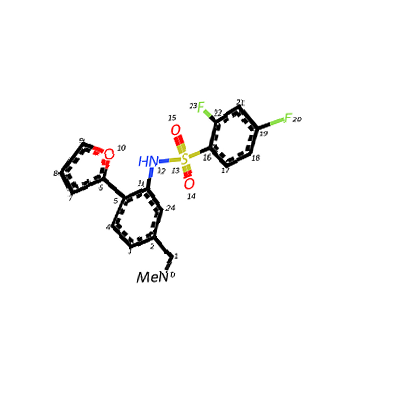 CNCc1ccc(-c2ccco2)c(NS(=O)(=O)c2ccc(F)cc2F)c1